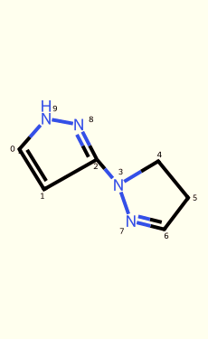 [c]1cc(N2CCC=N2)n[nH]1